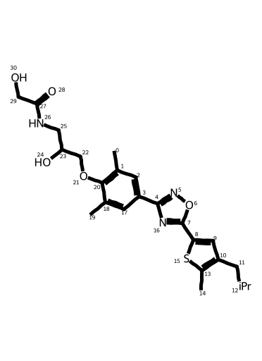 Cc1cc(-c2noc(-c3cc(CC(C)C)c(C)s3)n2)cc(C)c1OCC(O)CNC(=O)CO